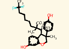 CCCCCCCCC(C1c2ccc(O)cc2OCC1(C)c1ccc(O)cc1)C(C)(CCCCCC(F)(F)C(F)(F)F)C(=O)O